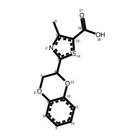 Cc1nc(C2COc3ccccc3O2)sc1C(=O)O